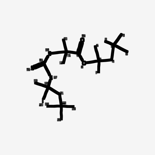 CC(C)(C)CC(C)(C)OC(=O)C(C)(C)SC(=S)SC(C)(I)CC(C)(C)C